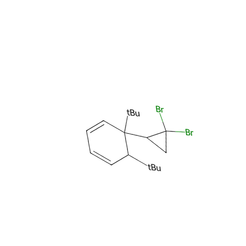 CC(C)(C)C1C=CC=CC1(C1CC1(Br)Br)C(C)(C)C